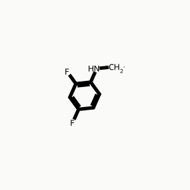 [CH2]Nc1ccc(F)cc1F